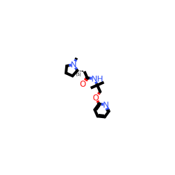 CN1CCC[C@H]1CC(=O)NC(C)(C)COc1ccccn1